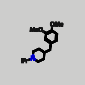 COc1ccc(CC2CCN(C(C)C)CC2)cc1OC